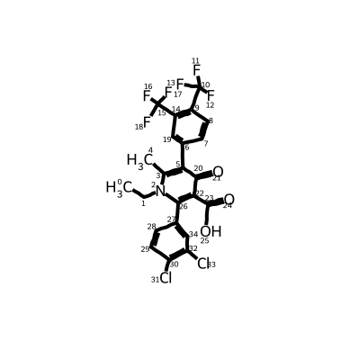 CCn1c(C)c(-c2ccc(C(F)(F)F)c(C(F)(F)F)c2)c(=O)c(C(=O)O)c1-c1ccc(Cl)c(Cl)c1